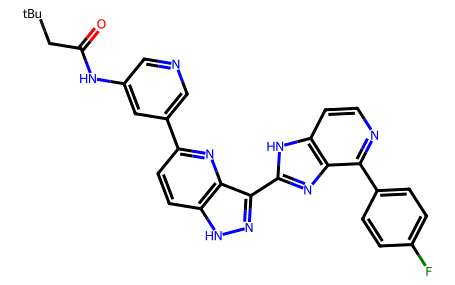 CC(C)(C)CC(=O)Nc1cncc(-c2ccc3[nH]nc(-c4nc5c(-c6ccc(F)cc6)nccc5[nH]4)c3n2)c1